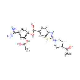 COC(=O)C1CCN(c2nc3ccc(C(=O)Oc4ccc(C(=N)N)cc4OC(=O)C(F)(F)F)cc3s2)CC1